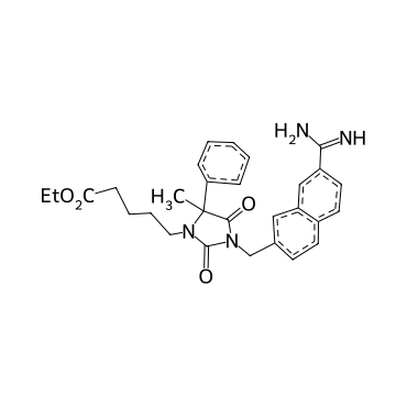 CCOC(=O)CCCCN1C(=O)N(Cc2ccc3ccc(C(=N)N)cc3c2)C(=O)C1(C)c1ccccc1